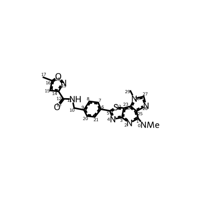 CNc1nc2nc(-c3ccc(CNC(=O)c4cc(C)on4)cc3)sc2c2c1ncn2C